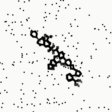 COc1nc2[nH]ccc2cc1Oc1cc(N2CCC3(CC2)CC(N2CCC[C@H]2c2ccccc2C(C)C)C3)ccc1C(=O)NS(=O)(=O)c1cc2c(c([N+](=O)[O-])c1)N[C@@H](C1CCOCC1)CO2